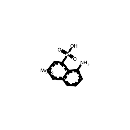 Nc1cccc2cccc(S(=O)(=O)O)c12.[MgH2]